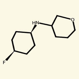 F[C@H]1CC[C@@H](NC2CCCOC2)CC1